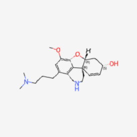 COc1cc(CCCN(C)C)c2c3c1O[C@@H]1C[C@H](O)C=C[C@]31CCNC2